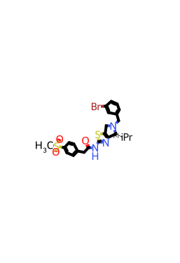 CC(C)[C@@H]1c2nc(NC(=O)Cc3ccc(S(C)(=O)=O)cc3)sc2CN1Cc1cccc(Br)c1